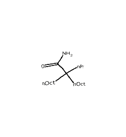 CCCCCCCCC(CCC)(CCCCCCCC)C(N)=O